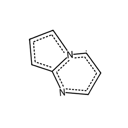 [c]1ccnc2cccn12